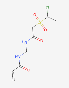 C=CC(=O)NCNC(=O)CS(=O)(=O)C(C)Cl